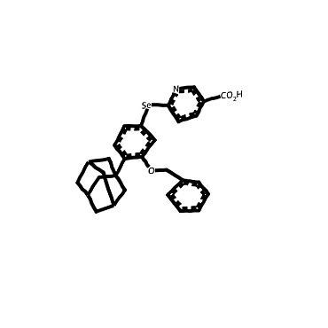 O=C(O)c1ccc([Se]c2ccc(C34CC5CC(CC(C5)C3)C4)c(OCc3ccccc3)c2)nc1